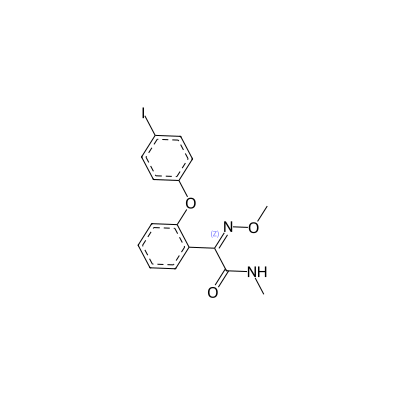 CNC(=O)/C(=N\OC)c1ccccc1Oc1ccc(I)cc1